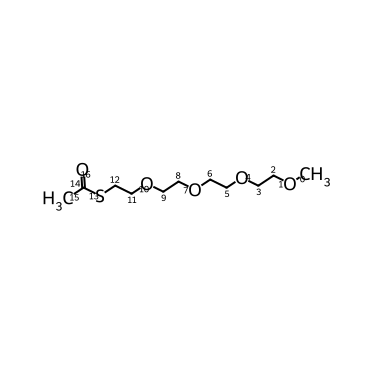 COCCOCCOCCOCCSC(C)=O